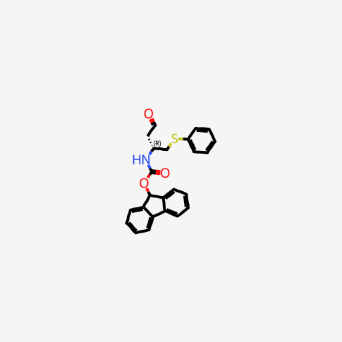 O=CC[C@H](CSc1ccccc1)NC(=O)OC1c2ccccc2-c2ccccc21